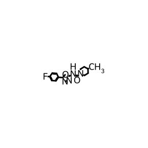 CC1CCN(C(=O)Nc2nnc(-c3ccc(F)cc3)o2)CC1